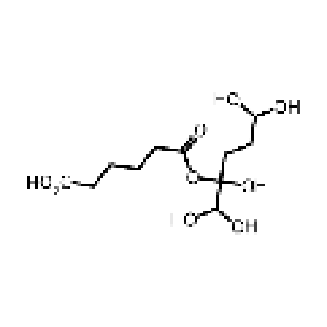 O=C(O)CCCCC(=O)OC(O)(CCC(O)O)C(O)O